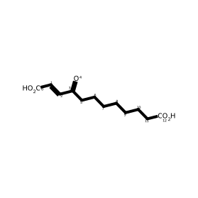 O=C(O)C=CC(=O)CCCCCCCC(=O)O